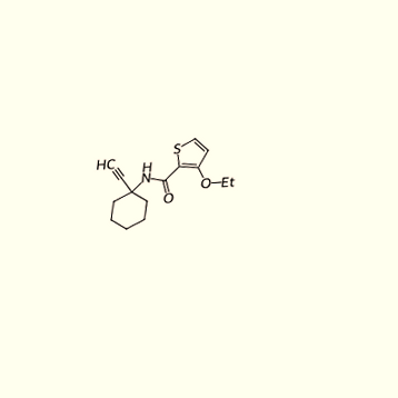 C#CC1(NC(=O)c2sccc2OCC)CCCCC1